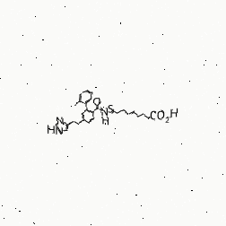 Cc1ccccc1-c1cc(CCc2c[nH]cn2)ccc1C(=O)NSCCCCCCCC(=O)O